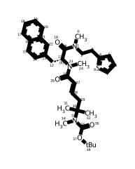 CN(CCc1cccs1)C(=O)[C@@H](Cc1ccc2ccccc2c1)N(C)C(=O)C=CCC(C)(C)N(C)C(=O)OC(C)(C)C